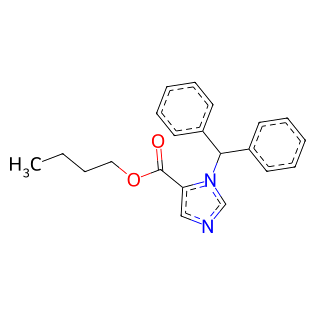 CCCCOC(=O)c1cncn1C(c1ccccc1)c1ccccc1